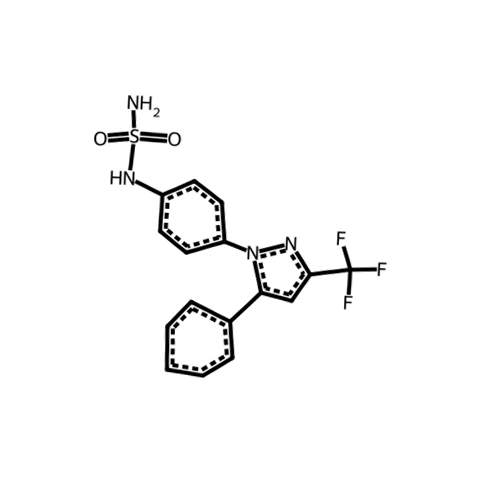 NS(=O)(=O)Nc1ccc(-n2nc(C(F)(F)F)cc2-c2ccccc2)cc1